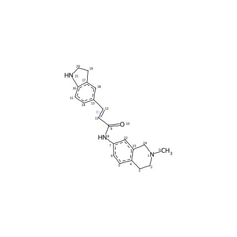 CN1CCc2ccc(NC(=O)/C=C/c3ccc4c(c3)CCN4)cc2C1